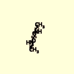 CCCNOCCONCCC